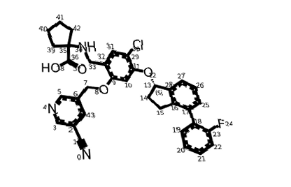 N#Cc1cncc(COc2cc(O[C@H]3CCc4c(-c5ccccc5F)cccc43)c(Cl)cc2CNC2(C(=O)O)CCCC2)c1